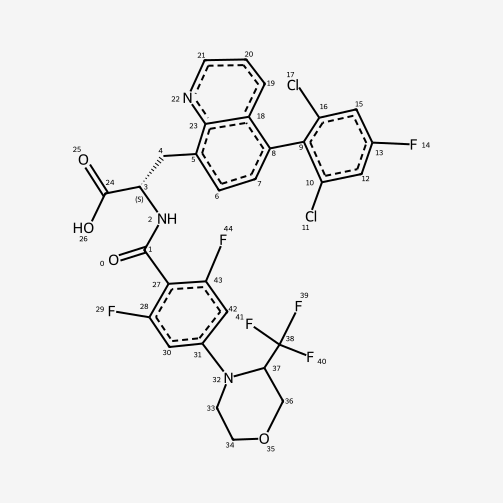 O=C(N[C@@H](Cc1ccc(-c2c(Cl)cc(F)cc2Cl)c2cccnc12)C(=O)O)c1c(F)cc(N2CCOCC2C(F)(F)F)cc1F